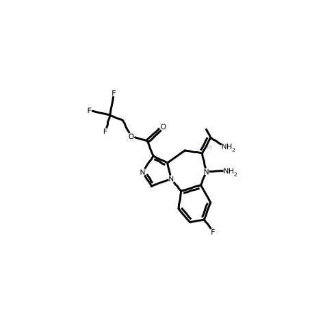 C/C(N)=C1\Cc2c(C(=O)OCC(F)(F)F)ncn2-c2ccc(F)cc2N1N